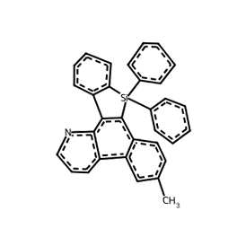 Cc1ccc2c3c(c4ncccc4c2c1)-c1ccccc1[Si]3(c1ccccc1)c1ccccc1